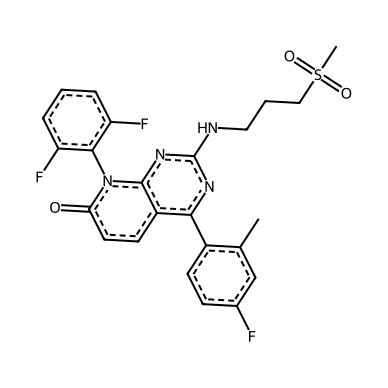 Cc1cc(F)ccc1-c1nc(NCCCS(C)(=O)=O)nc2c1ccc(=O)n2-c1c(F)cccc1F